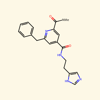 CNC(=O)c1cc(C(=O)NCCc2cnc[nH]2)cc(Cc2ccccc2)n1